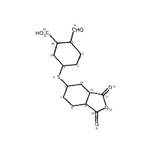 O=CC1CCC(SC2CCC3C(=O)OC(=O)C3C2)CC1C(=O)O